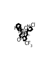 C[C@@H]1c2ccccc2CN1c1cc(=O)n2cc(C(F)(F)F)cc([C@@H](C)Nc3ccc(Cl)nc3C(=O)O)c2n1